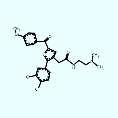 COc1ccc(C(=O)c2cc(CC(=O)NCCN(C)C)c(-c3ccc(Cl)c(Cl)c3)s2)cc1